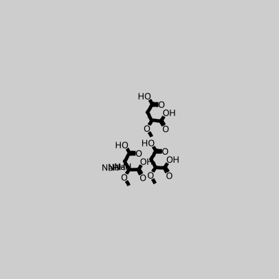 COC(CC(=O)O)C(=O)O.COC(CC(=O)O)C(=O)O.COC(CC(=O)O)C(=O)O.[NaH].[NaH].[NaH]